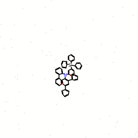 c1ccc(-c2ccc(N(c3cccc([Si](c4ccccc4)(c4ccccc4)c4ccccc4)c3)c3ccccc3-c3ccccc3)c(-c3ccccc3)c2)cc1